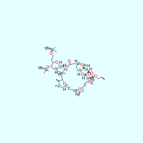 C=CCO[C@]12C[C@]34CCC5CC(=C)[C@H](CC[C@H]6C[C@@H](C)C(=C)C(C[C@@H]7O[C@H]8CC(O[Si](C)(C)C(C)(C)C)C(CCO[Si](C)(C)C(C)(C)C)O[C@H]8[C@H](C)[C@H]7OC(=O)C[C@H]7CC[C@@H]8O[C@H]([C@@H](O1)[C@@H](O3)[C@H]8O7)[C@H]2O4)O6)O5